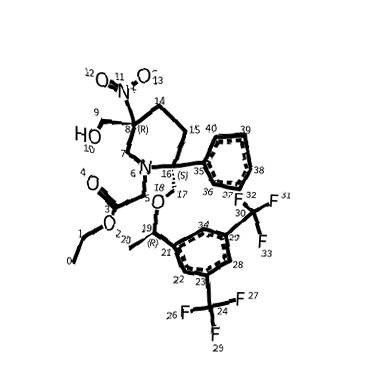 CCOC(=O)CN1C[C@](CO)([N+](=O)[O-])CC[C@@]1(CO[C@H](C)c1cc(C(F)(F)F)cc(C(F)(F)F)c1)c1ccccc1